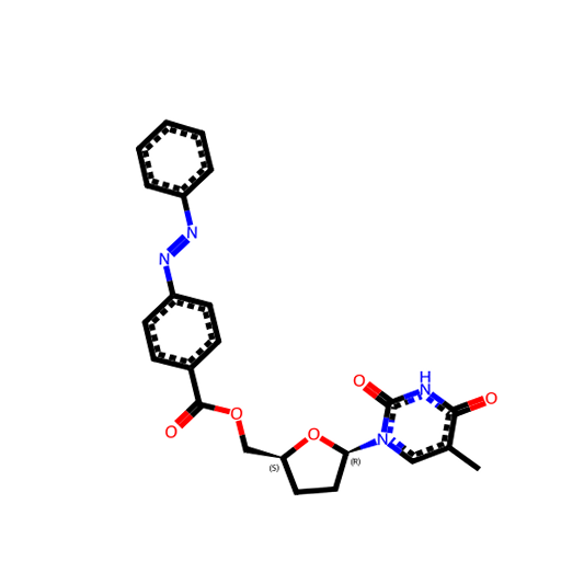 Cc1cn([C@H]2CC[C@@H](COC(=O)c3ccc(N=Nc4ccccc4)cc3)O2)c(=O)[nH]c1=O